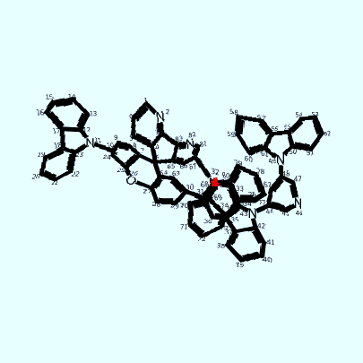 c1cnc2c(c1)C1(c3ccc(-n4c5ccccc5c5ccccc54)cc3Oc3ccc(-c4ccc5c(c4)c4ccccc4n5-c4cncc(-n5c6ccccc6c6ccccc65)c4)cc31)c1cc(-n3c4ccccc4c4ccccc43)cnc1-2